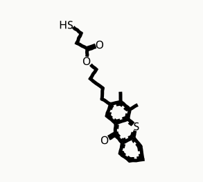 Cc1c(CCCCOC(=O)CCS)cc2c(=O)c3ccccc3sc2c1C